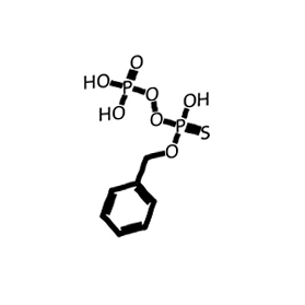 O=P(O)(O)OOP(O)(=S)OCc1ccccc1